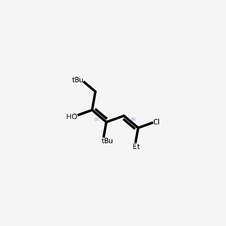 CC/C(Cl)=C\C(=C(\O)CC(C)(C)C)C(C)(C)C